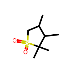 CC1CS(=O)(=O)C(C)(C)C1C